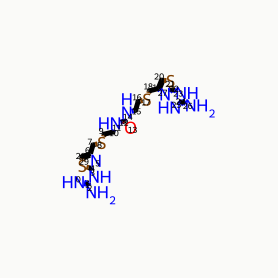 N=C(N)Nc1nc(CSCCNC(=O)NCCSCc2csc(NC(=N)N)n2)cs1